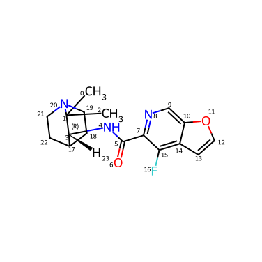 CC1(C)[C@H](NC(=O)c2ncc3occc3c2F)C2CCN1CC2